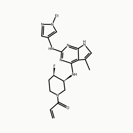 C=CC(=O)N1CC[C@@H](F)[C@@H](Nc2nc(Nc3cnn(CC)c3)nc3[nH]cc(C)c23)C1